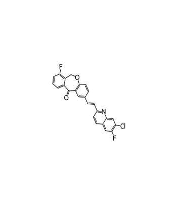 O=C1c2cc(/C=C/c3ccc4cc(F)c(Cl)cc4n3)ccc2OCc2c(F)cccc21